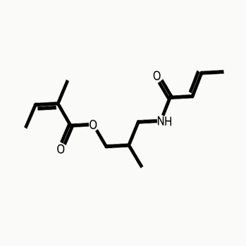 C/C=C(/C)C(=O)OCC(C)CNC(=O)/C=C/C